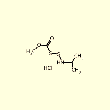 COC(=O)SSNC(C)C.Cl